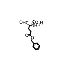 O=C[C@H](CCC(=O)OCc1ccccc1)NC(=O)O